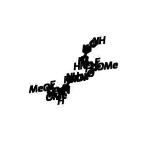 COc1cc(OC)c(F)c(Cc2c[nH]c3ncc(/C(C=N)=C/NC4CCN(C(C)COc5cc(OC)c(F)c(Cc6c[nH]c7ncc(-c8cnn(C9CCNCC9)c8)cc67)c5F)CC4)cc23)c1F